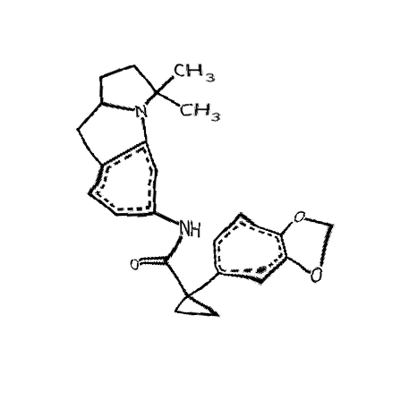 CC1(C)CCC2Cc3ccc(NC(=O)C4(c5ccc6c(c5)OCO6)CC4)cc3N21